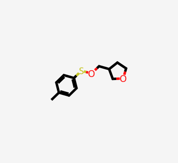 Cc1ccc(SOCC2CCOC2)cc1